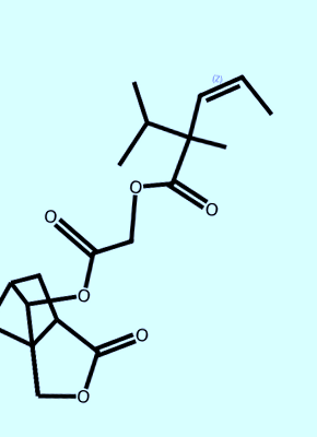 C/C=C\C(C)(C(=O)OCC(=O)OC1C2CC3C(=O)OC1C3C2)C(C)C